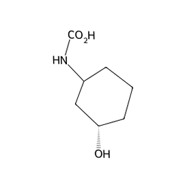 O=C(O)NC1CCC[C@H](O)C1